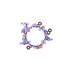 CC[C@@H]1NC(=O)[C@H](Cc2c[nH]cn2)NC(=O)[C@H](Cc2ccccc2)N(C)C(=O)[C@H](CC)NC(=O)[C@H](CO)NC(=O)CNC(=O)[C@H](Cc2c[nH]cn2)NC(=O)[C@H](Cc2cccc3ccccc23)NC(=O)[C@H](C(C)C)NC(=O)[C@H](Cc2ccccc2)NC(=O)CSC[C@@H](C(=O)NCC(N)=O)NC(=O)[C@H](Cc2cncn2C)NC1=O